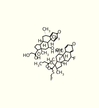 CCC(=O)O[C@]1(C(=O)SCF)[C@H](C)C[C@H]2[C@@H]3C[C@H](F)C4=CC(=O)C=C[C@]4(C)[C@@]3(F)[C@@H](O)C[C@@]21C.C[C@H]1C[C@@H]2[C@H]([C@@H](O)C[C@@]3(C)[C@H]2CC[C@]3(O)C(=O)CO)[C@@]2(C)C=CC(=O)C=C12